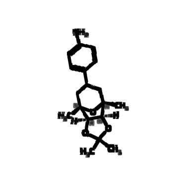 CC1(C)O[C@@H]2[C@H](O1)[C@@]1(C)CC(c3ccc(N)cc3)C[C@]2(C)O1